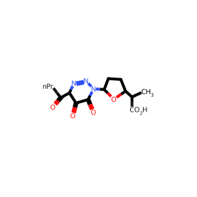 CCCC(=O)C1N=NN(C2CCC(C(C)C(=O)O)O2)C(=O)C1=O